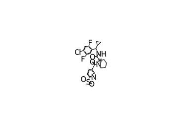 CS(=O)(=O)c1ccc(C(=O)N2CCCC[C@@H]2C(=O)NC(c2cc(F)c(Cl)cc2F)C2CC2)cn1